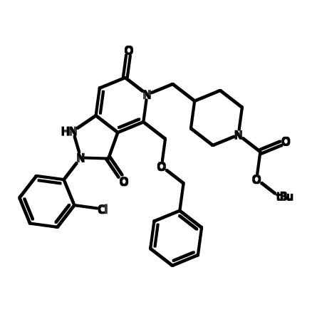 CC(C)(C)OC(=O)N1CCC(Cn2c(COCc3ccccc3)c3c(=O)n(-c4ccccc4Cl)[nH]c3cc2=O)CC1